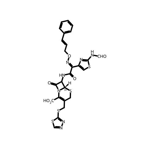 O=CNc1nc(C(=NOCC=Cc2ccccc2)C(=O)NC2C(=O)N3C(C(=O)O)=C(CSc4nncs4)CS[C@@H]23)cs1